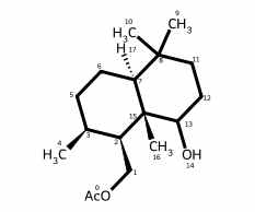 CC(=O)OC[C@H]1[C@@H](C)CC[C@H]2C(C)(C)CCC(O)[C@]12C